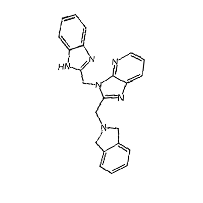 c1ccc2c(c1)CN(Cc1nc3cccnc3n1Cc1nc3ccccc3[nH]1)C2